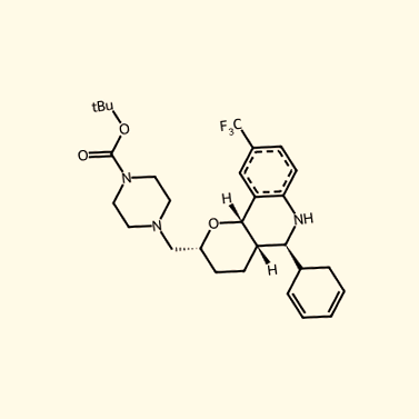 CC(C)(C)OC(=O)N1CCN(C[C@H]2CC[C@@H]3[C@H](O2)c2cc(C(F)(F)F)ccc2N[C@H]3C2C=CC=CC2)CC1